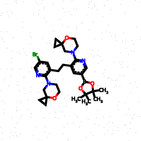 CC1(C)OB(c2cnc(N3CCOC4(CC4)C3)c(CCc3cc(Br)cnc3N3CCOC4(CC4)C3)c2)OC1(C)C